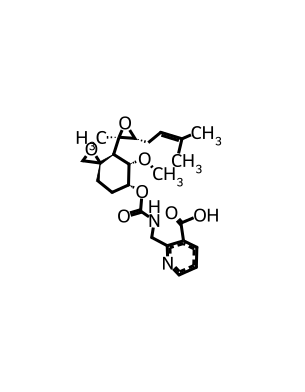 CO[C@@H]1[C@H](OC(=O)NCc2ncccc2C(=O)O)CC[C@]2(CO2)[C@H]1[C@@]1(C)O[C@@H]1CC=C(C)C